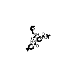 CC(C)(C)OC(=O)N1CC[C@@H](NC(=O)N2CCC3(CC2)CC3)[C@H](C(=O)NCc2cccs2)C1